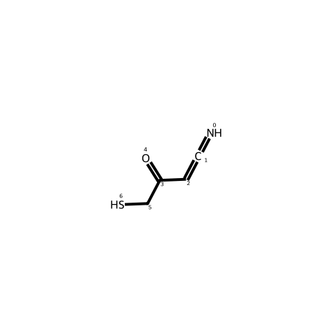 N=C=CC(=O)CS